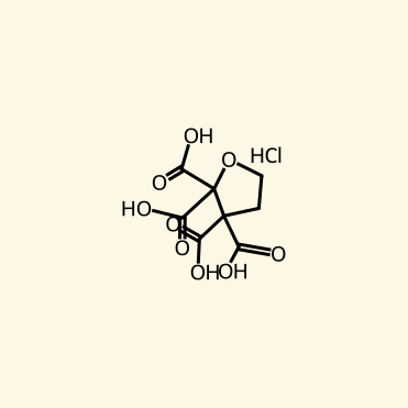 Cl.O=C(O)C1(C(=O)O)CCOC1(C(=O)O)C(=O)O